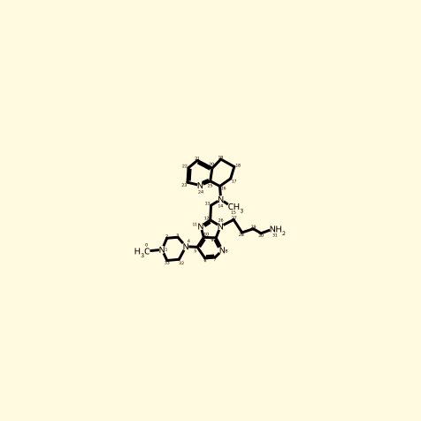 CN1CCN(c2ccnc3c2nc(CN(C)C2CCCc4cccnc42)n3CCCCN)CC1